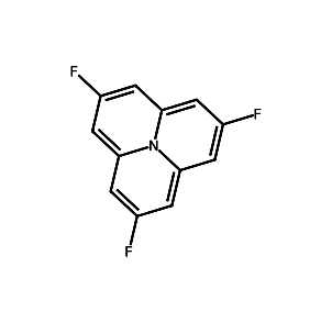 FC1=CC2=CC(F)=CC3=CC(F)=CC(=C1)N23